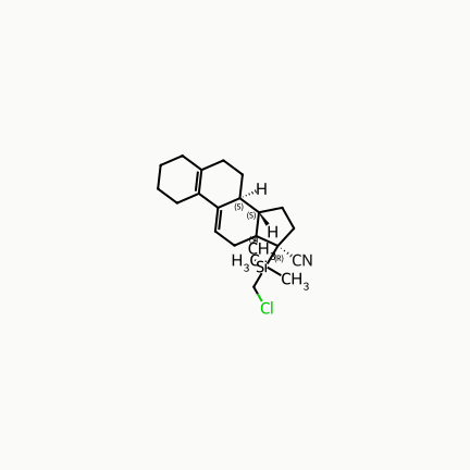 C[C@]12CC=C3C4=C(CCCC4)CC[C@H]3[C@@H]1CC[C@@]2(C#N)[Si](C)(C)CCl